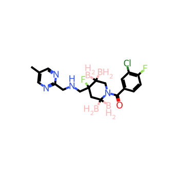 BC1(B)CC(F)(CNCc2ncc(C)cn2)C(B)(B)CN1C(=O)c1ccc(F)c(Cl)c1